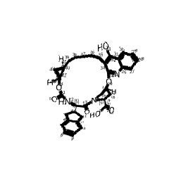 O=C1N[C@@H](C2Cc3ccccc3C2)C(=O)N2C[C@@H](C[C@H]2C(=O)O)Oc2nc3ccccc3c(O)c2CCCCC[C@@H]2C[C@H]2O1